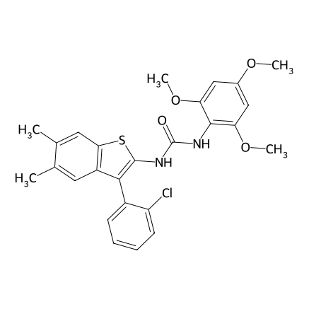 COc1cc(OC)c(NC(=O)Nc2sc3cc(C)c(C)cc3c2-c2ccccc2Cl)c(OC)c1